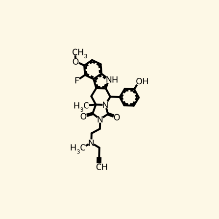 C#CCN(C)CCN1C(=O)N2C(c3cccc(O)c3)c3[nH]c4ccc(OC)c(F)c4c3CC2(C)C1=O